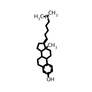 CN(C)CCCC/C=C1\CCC2C3CCc4cc(O)ccc4C3CCC12C